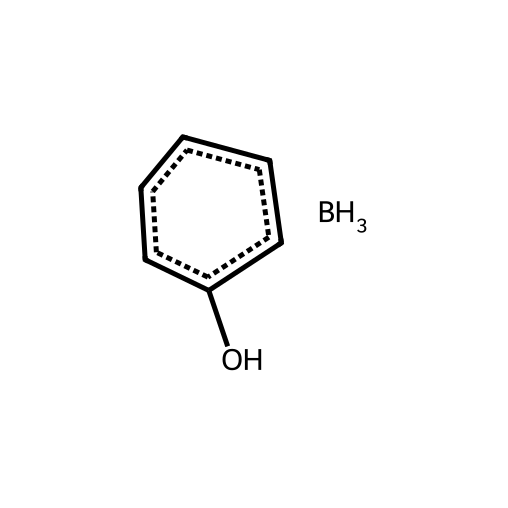 B.Oc1ccccc1